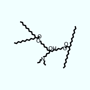 CCCCCCCCCCC(CCCCCCCCCC)C(=O)OCCCCCCC(O)(CCCCCCOC(=O)C(CCCCCCCCCC)CCCCCCCCCC)CCCCN(CCC)CCC